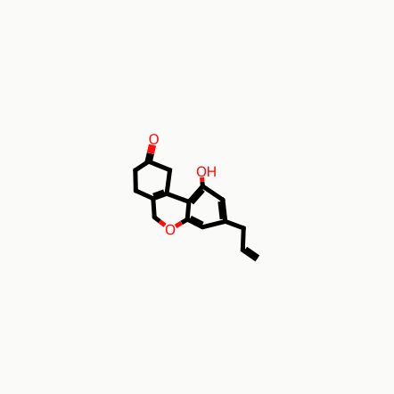 C=CCc1cc(O)c2c(c1)OCC1=C2CC(=O)CC1